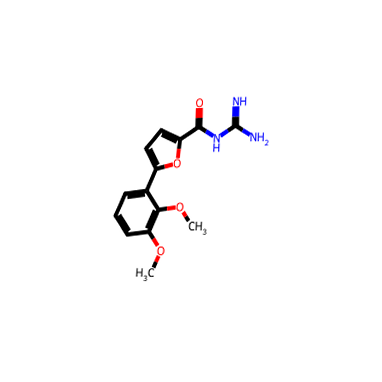 COc1cccc(-c2ccc(C(=O)NC(=N)N)o2)c1OC